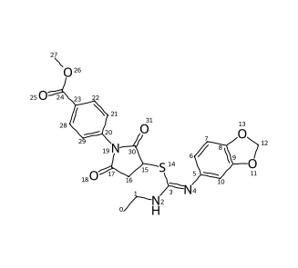 CCN/C(=N/c1ccc2c(c1)OCO2)SC1CC(=O)N(c2ccc(C(=O)OC)cc2)C1=O